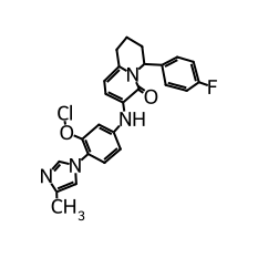 Cc1cn(-c2ccc(Nc3ccc4n(c3=O)C(c3ccc(F)cc3)CCC4)cc2OCl)cn1